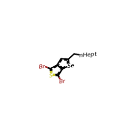 CCCCCCCCc1cc2c(Br)sc(Br)c2[se]1